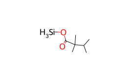 CC(C)C(C)(C)C(=O)O[SiH3]